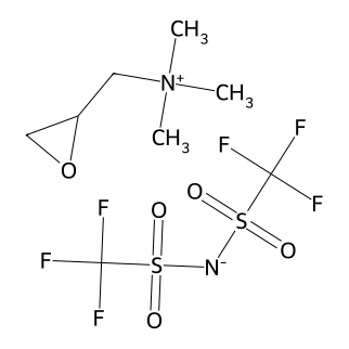 C[N+](C)(C)CC1CO1.O=S(=O)([N-]S(=O)(=O)C(F)(F)F)C(F)(F)F